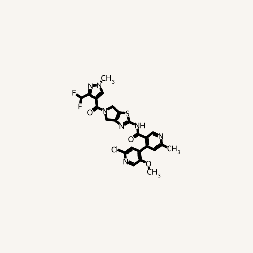 COc1cnc(Cl)cc1-c1cc(C)ncc1C(=O)Nc1nc2c(s1)CN(C(=O)c1cn(C)nc1C(F)F)C2